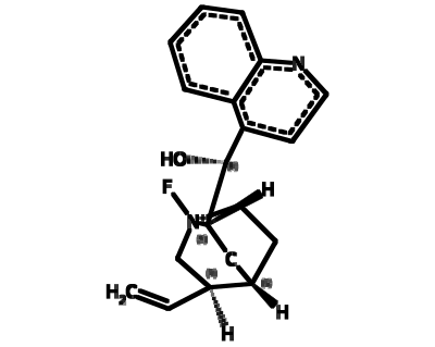 C=C[C@H]1C[N+]2(F)CC[C@H]1C[C@H]2[C@H](O)c1ccnc2ccccc12